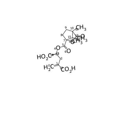 C=C(C[C@H](OC(=O)C12CCC(C)(C(=O)O1)C2(C)C)C(=O)O)C(=O)O